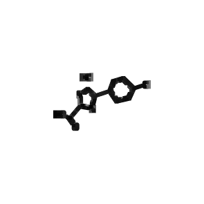 Cl.O=C(O)c1nc(-c2ccc(Cl)cc2)cs1